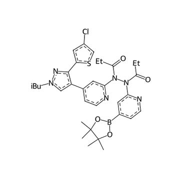 CCC(=O)N(c1cc(B2OC(C)(C)C(C)(C)O2)ccn1)N(C(=O)CC)c1cc(-c2cn(C(C)CC)nc2-c2cc(Cl)cs2)ccn1